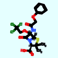 CC1(C)S[C@H]2N(C(=O)[C@@]2(NC(=O)COc2ccccc2)OCC(Cl)(Cl)Cl)[C@H]1C(=O)O